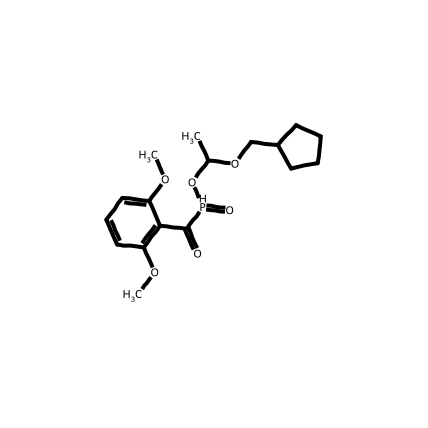 COc1cccc(OC)c1C(=O)[PH](=O)OC(C)OCC1CCCC1